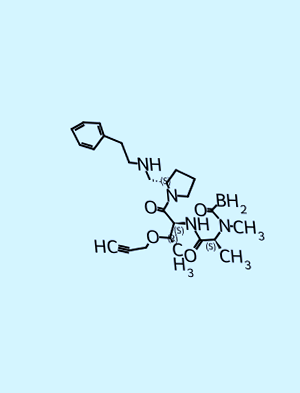 BC(=O)N(C)[C@@H](C)C(=O)N[C@H](C(=O)N1CCC[C@H]1CNCCc1ccccc1)[C@@H](C)OCC#C